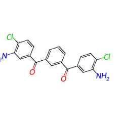 Nc1cc(C(=O)c2cccc(C(=O)c3ccc(Cl)c(N)c3)c2)ccc1Cl